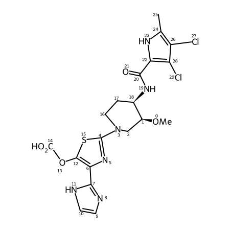 CO[C@H]1CN(c2nc(-c3ncc[nH]3)c(OC(=O)O)s2)CC[C@H]1NC(=O)c1[nH]c(C)c(Cl)c1Cl